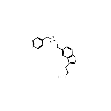 NCCc1c[nH]c2ccc(CNS(=O)(=O)Cc3ccccc3)cc12